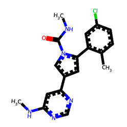 CNC(=O)n1cc(-c2cc(NC)ncn2)cc1-c1cc(Cl)ccc1C